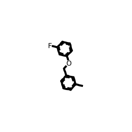 Cc1cccc(COc2cccc(F)c2)c1